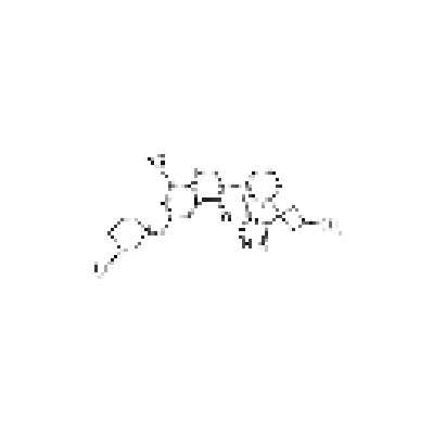 CC1CC(c2cccc(-c3cnc4c(C5CC5)nc(CN5CCC[C@H](C)C5)cn4c3=O)c2)(c2nncn2C)C1